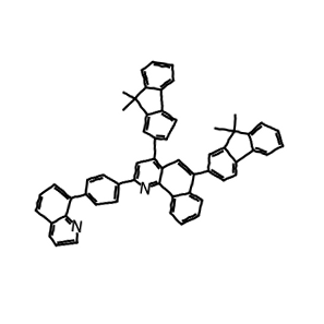 CC1(C)c2ccccc2-c2ccc(-c3cc4c(-c5ccc6c(c5)C(C)(C)c5ccccc5-6)cc(-c5ccc(-c6cccc7cccnc67)cc5)nc4c4ccccc34)cc21